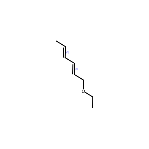 C/C=C/C=C/[CH]OCC